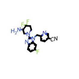 N#Cc1ccc(Cn2c(N3CCC(F)(F)[C@H](N)C3)nc3ccc(F)cc32)nc1